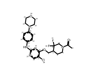 CC(=O)N1CCC(COc2nc(Nc3ccc(N4CCOCC4)cc3)ncc2Cl)C(F)(F)C1